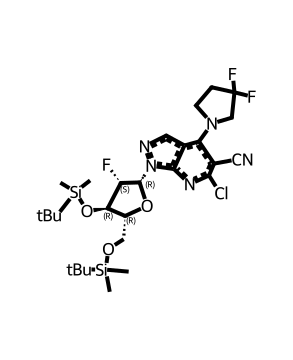 CC(C)(C)[Si](C)(C)OC[C@H]1O[C@@H](n2ncc3c(N4CCC(F)(F)C4)c(C#N)c(Cl)nc32)[C@@H](F)[C@@H]1O[Si](C)(C)C(C)(C)C